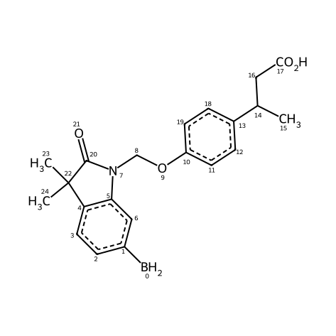 Bc1ccc2c(c1)N(COc1ccc(C(C)CC(=O)O)cc1)C(=O)C2(C)C